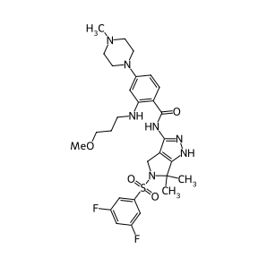 COCCCNc1cc(N2CCN(C)CC2)ccc1C(=O)Nc1n[nH]c2c1CN(S(=O)(=O)c1cc(F)cc(F)c1)C2(C)C